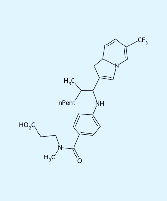 CCCCCC(C)C(Nc1ccc(C(=O)N(C)CCC(=O)O)cc1)C1=CN2C=C(C(F)(F)F)C=CC2C1